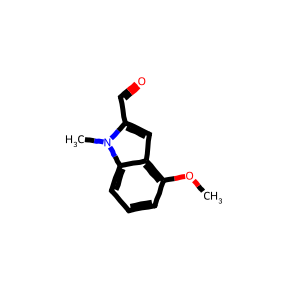 COc1cccc2c1cc(C=O)n2C